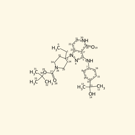 CCC1(n2nc(Nc3ccc(C(C)(C)O)cc3)c3c(=O)[nH]ccc32)CCN(C(=O)OC(C)(C)C)CC1